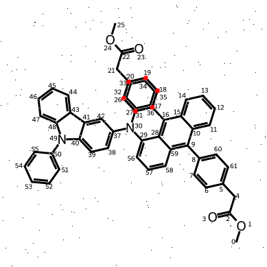 COC(=O)Cc1ccc(-c2c3ccccc3c(-c3ccc(CC(=O)OC)cc3)c3c(N(c4ccccc4)c4ccc5c(c4)c4ccccc4n5-c4ccccc4)cccc23)cc1